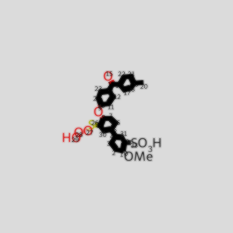 COc1ccc(-c2ccc(Oc3ccc(C(=O)c4ccc(C)cc4)cc3)c(SOOO)c2)cc1S(=O)(=O)O